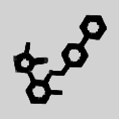 Cc1cccc(-n2nnn(C)c2=O)c1OCc1ccc(-c2ccccc2)cc1